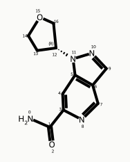 NC(=O)c1cc2c(cn1)cnn2[C@@H]1CCOC1